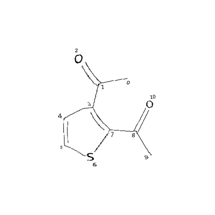 CC(=O)c1ccsc1C(C)=O